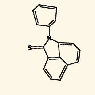 S=C1c2cccc3cccc(c23)N1c1ccccc1